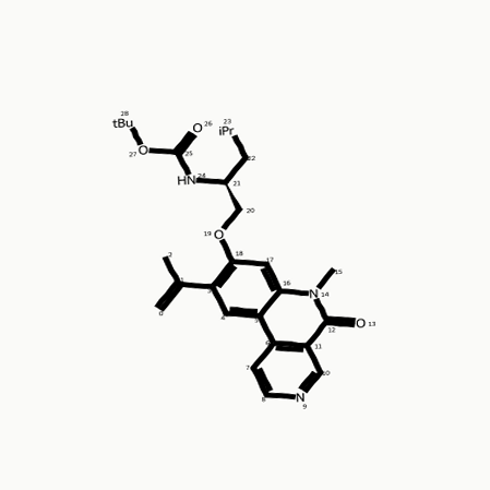 C=C(C)c1cc2c3ccncc3c(=O)n(C)c2cc1OC[C@H](CC(C)C)NC(=O)OC(C)(C)C